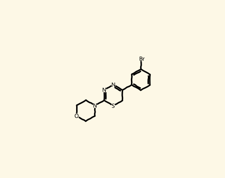 Brc1cccc(C2=NN=C(N3CCOCC3)SC2)c1